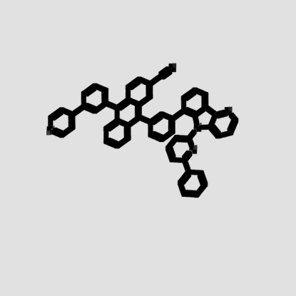 N#Cc1ccc2c(-c3cccc(-c4ccncc4)c3)c3ccccc3c(-c3cccc(-c4cccc5c6ncccc6n(-c6cccc(-c7ccccc7)n6)c45)c3)c2c1